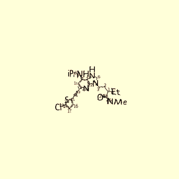 CCC(CCN1CNc2c(NC(C)C)cc(C#Cc3ccc(Cl)s3)nc21)C(=O)NC